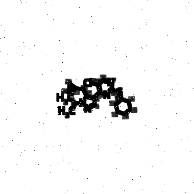 CC(C)n1ncc(-c2nc(SC3CCCCC3)ncc2Cl)c1CC1CC1